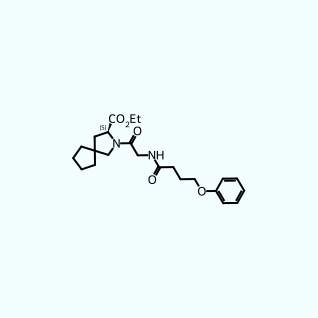 CCOC(=O)[C@@H]1CC2(CCCC2)CN1C(=O)CNC(=O)CCCOc1ccccc1